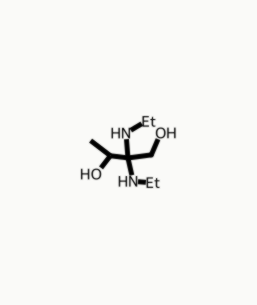 CCNC(CO)(NCC)C(C)O